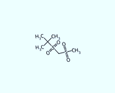 CC(C)(C)S(=O)(=O)CS(C)(=O)=O